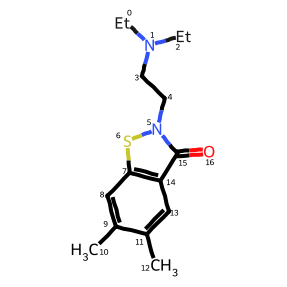 CCN(CC)CCn1sc2cc(C)c(C)cc2c1=O